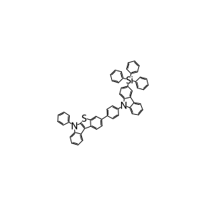 c1ccc(-n2c3ccccc3c3c4ccc(-c5ccc(-n6c7ccccc7c7cc([Si](c8ccccc8)(c8ccccc8)c8ccccc8)ccc76)cc5)cc4sc32)cc1